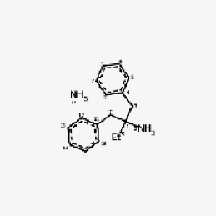 CCC(N)(Cc1ccccc1)Cc1ccccc1.N